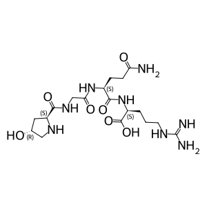 N=C(N)NCCC[C@H](NC(=O)[C@H](CCC(N)=O)NC(=O)CNC(=O)[C@@H]1C[C@@H](O)CN1)C(=O)O